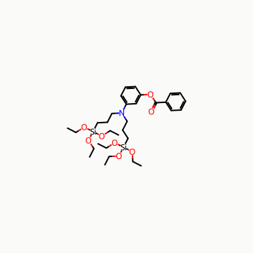 CCO[Si](CCCN(CCC[Si](OCC)(OCC)OCC)c1cccc(OC(=O)c2ccccc2)c1)(OCC)OCC